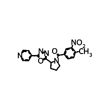 Cc1ccc(C(=O)N2CCCC2c2nnc(-c3ccncc3)o2)cc1[N+](=O)[O-]